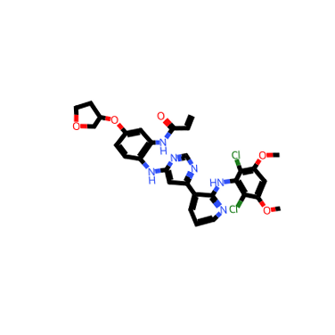 C=CC(=O)Nc1cc(OC2CCOC2)ccc1Nc1cc(-c2cccnc2Nc2c(Cl)c(OC)cc(OC)c2Cl)ncn1